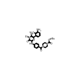 CCCCOC(=O)N1CCN(C(=O)c2ccc(Nc3nc(-c4cccc(N)c4C)c(CC)n(CC)c3=O)cc2)CC1